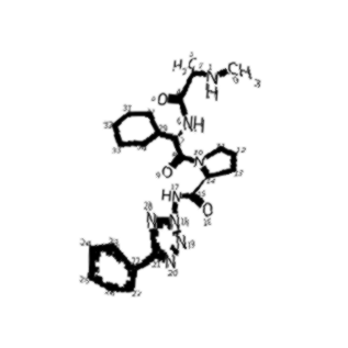 CN[C@@H](C)C(=O)N[C@H](C(=O)N1CCC[C@H]1C(=O)Nn1nnc(-c2ccccc2)n1)C1CCCCC1